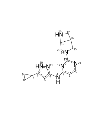 c1cc(Nc2cc(C3CC3)[nH]n2)nc(N2CC3CNC3C2)n1